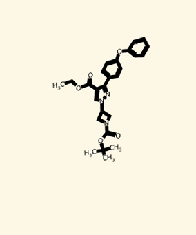 CCOC(=O)c1cn(C2CN(C(=O)OC(C)(C)C)C2)nc1-c1ccc(Oc2ccccc2)cc1